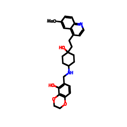 COc1ccc2nccc(CCC3(O)CCC(NCc4ccc5c(c4O)OCCO5)CC3)c2c1